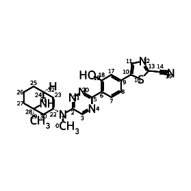 CN(c1cnc(-c2ccc(-c3cnc(C#N)s3)cc2O)nn1)[C@H]1C[C@@H]2CCC[C@](C)(C1)N2